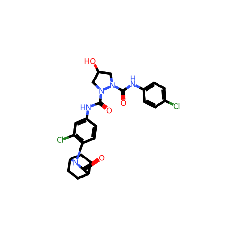 O=C1C2CCC(CC2)N1c1ccc(NC(=O)N2CC(O)CN2C(=O)Nc2ccc(Cl)cc2)cc1Cl